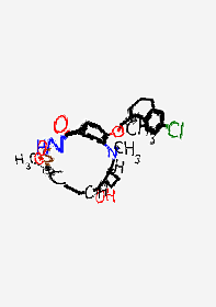 CC[C@H]1CCCC[C@H](O)[C@@H]2CC[C@H]2CN(C)c2cc(ccc2OC[C@@]2(C)CCCc3cc(Cl)ccc32)C(=O)NS1(=O)=O